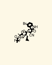 C[C@H](NC(=O)C(C)(F)F)C(=O)N(C)[C@@H](CC1CC1)C(=O)N1C[C@]2(C[C@H]1C#N)C(=O)Nc1ccc(Br)cc12